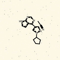 CC#N.c1nc(-c2cnn([C]3CCCC3)c2)c2cc[nH]c2n1